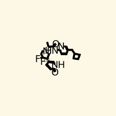 CC(C(=O)Nc1ccc(CC2CCC2)cn1)N1CCC(F)(F)[C@@H](c2ccc(=O)[nH]c2)C1